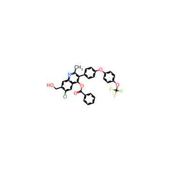 Cc1nc2cc(CO)c(Cl)cc2c(OC(=O)c2ccccc2)c1-c1ccc(Oc2ccc(OC(F)(F)F)cc2)cc1